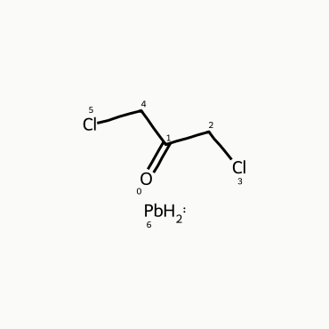 O=C(CCl)CCl.[PbH2]